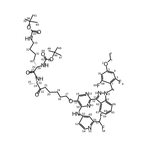 CCOc1cc(F)c(Cn2nc(-c3ncc(OCCCCCC(=O)[C@H](C)NC(=O)[C@H](CCCCNC(=O)OC(C)(C)C)NC(=O)OC(C)(C)C)c(Nc4ccnc(C(F)F)c4)n3)c3ccccc32)c(F)c1